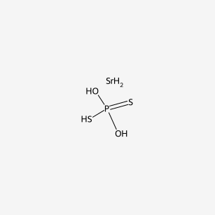 OP(O)(=S)S.[SrH2]